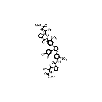 COC(=O)N[C@H](C(=O)N1CCC[C@H]1C(=O)Nc1ccc([C@H]2CC[C@H](c3ccc(NC(=O)[C@@H]4CCCN4C(=O)[C@@H](NC(=O)OC)C(C)C)c([N+](=O)[O-])c3)N2c2ccc(Cl)c(F)c2)cc1[N+](=O)[O-])C(C)C